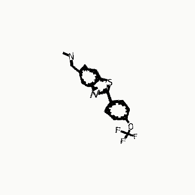 C/N=C/c1ccc2sc(-c3ccc(OC(F)(F)F)cc3)nc2c1